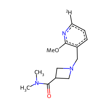 [2H]c1ccc(CN2CC(C(=O)N(C)C)C2)c(OC)n1